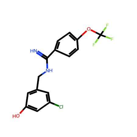 N=C(NCc1cc(O)cc(Cl)c1)c1ccc(OC(F)(F)F)cc1